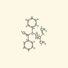 C=COC.O=C(c1ccccc1)C(O)c1ccccc1